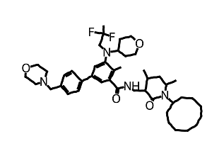 Cc1c(C(=O)NCC2C(=O)N(C3CCCCCCCCC3)C(C)CC2C)cc(-c2ccc(CN3CCOCC3)cc2)cc1N(CC(C)(F)F)C1CCOCC1